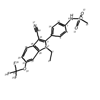 CCn1c(-c2ccc(NS(C)(=O)=O)cc2)c(C#N)c2ccc(OC(F)(F)F)cc21